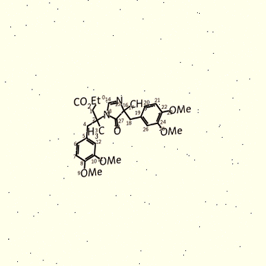 CCOC(=O)CC(C)(Cc1ccc(OC)c(OC)c1)N1C=NC(C)(Cc2ccc(OC)c(OC)c2)C1=O